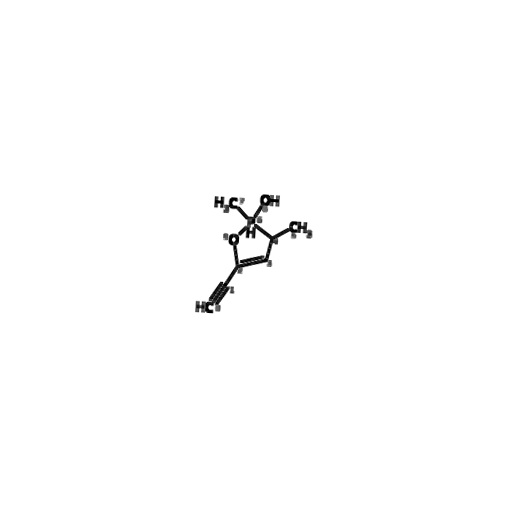 C#CC1=CC(C)[PH](C)(O)O1